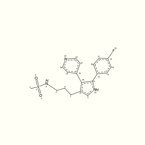 CS(=O)(=O)NCCCc1c[nH]c(-c2ccc(F)cc2)c1-c1ccncc1